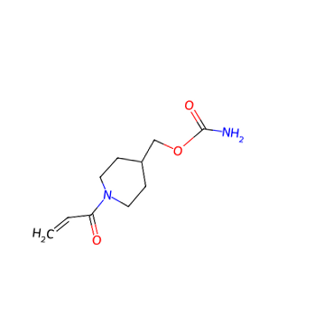 C=CC(=O)N1CCC(COC(N)=O)CC1